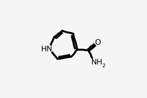 NC(=O)C1=CC=CNC=C1